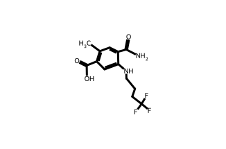 Cc1cc(C(N)=O)c(NCCCC(F)(F)F)cc1C(=O)O